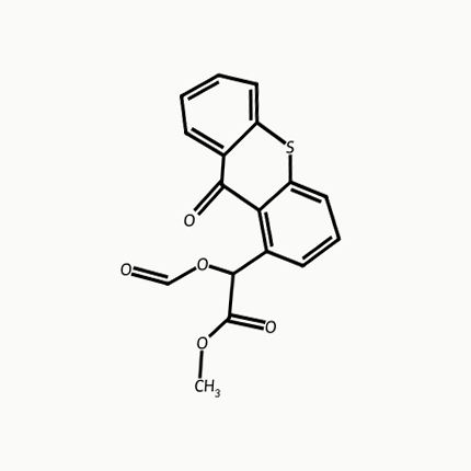 COC(=O)C(OC=O)c1cccc2sc3ccccc3c(=O)c12